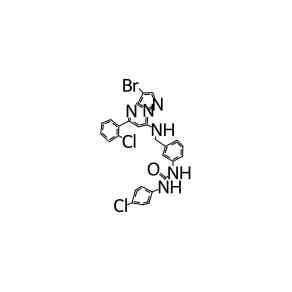 O=C(Nc1ccc(Cl)cc1)Nc1cccc(CNc2cc(-c3ccccc3Cl)nc3c(Br)cnn23)c1